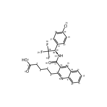 O=C(O)CCCCc1nc2ccccc2nc1C(=O)N[C@H](c1ccc(Cl)cc1)C(F)(F)F